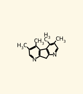 Cc1cnc2c(c1C)-c1c(ncc(C)c1C)C2